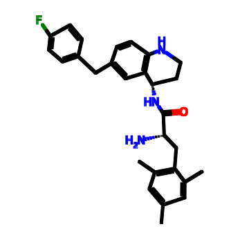 Cc1cc(C)c(C[C@H](N)C(=O)N[C@H]2CCNc3ccc(Cc4ccc(F)cc4)cc32)c(C)c1